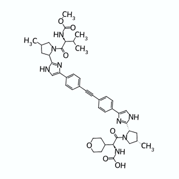 COC(=O)N[C@H](C(=O)N1CC(C)CC1c1nc(-c2ccc(C#Cc3ccc(-c4c[nH]c([C@@H]5C[C@H](C)CN5C(=O)[C@@H](NC(=O)O)C5CCOCC5)n4)cc3)cc2)c[nH]1)C(C)C